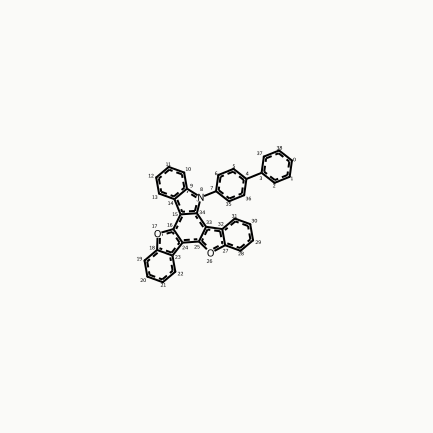 c1ccc(-c2ccc(-n3c4ccccc4c4c5oc6ccccc6c5c5oc6ccccc6c5c43)cc2)cc1